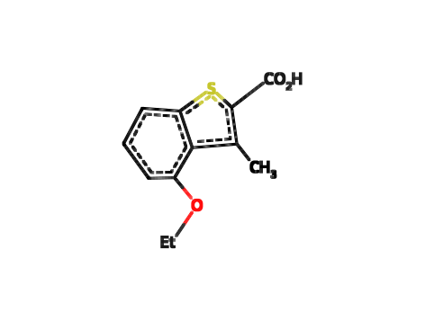 CCOc1cccc2sc(C(=O)O)c(C)c12